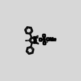 COS(=O)(=O)[O-].Cc1c(-c2ccccc2)n(C)[n+](C)c1-c1ccccc1